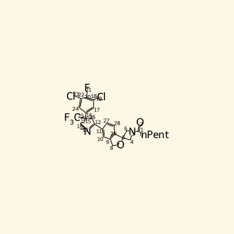 CCCCCC(=O)N1CC2(C1)OCc1cc(C3=NS[C@@](c4cc(Cl)c(F)c(Cl)c4)(C(F)(F)F)C3)ccc12